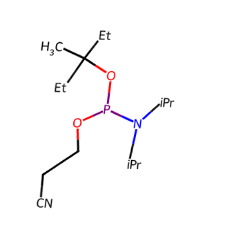 CCC(C)(CC)OP(OCCC#N)N(C(C)C)C(C)C